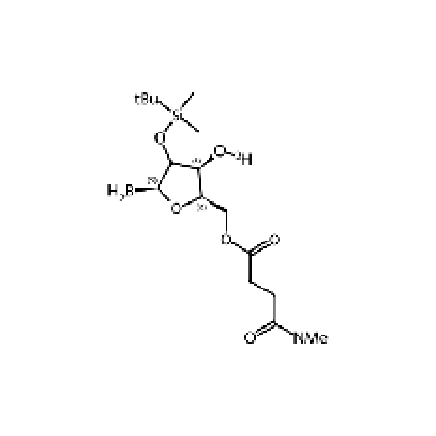 [2H]O[C@@H]1C(O[Si](C)(C)C(C)(C)C)[C@H](B)O[C@@H]1COC(=O)CCC(=O)NC